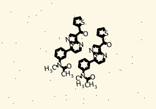 CC(=O)N(C)c1cccc(-c2ccnc3c(C(=O)c4cccs4)cnn23)c1.CC(=O)N(C)c1cccc(-c2ccnc3c(C(=O)c4cccs4)cnn23)c1